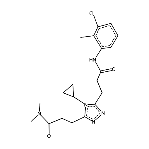 Cc1c(Cl)cccc1NC(=O)CCc1nnc(CCC(=O)N(C)C)n1C1CC1